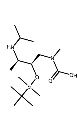 CC(C)N[C@H](C)[C@@H](CN(C)C(=O)O)O[Si](C)(C)C(C)(C)C